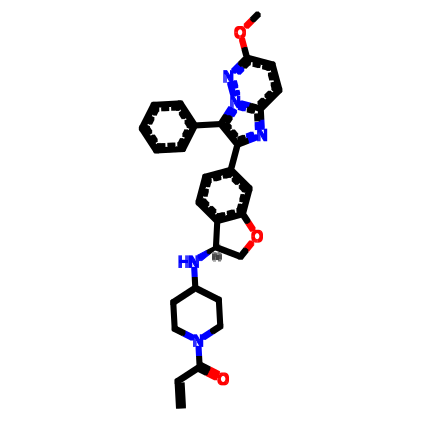 C=CC(=O)N1CCC(N[C@@H]2COc3cc(-c4nc5ccc(OC)nn5c4-c4ccccc4)ccc32)CC1